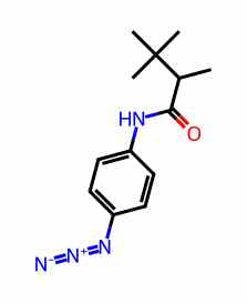 CC(C(=O)Nc1ccc(N=[N+]=[N-])cc1)C(C)(C)C